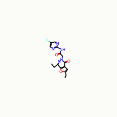 CCc1cc2c(=O)n(CC(=O)Nc3ncc(F)cn3)nc(CC)c2o1